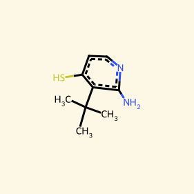 CC(C)(C)c1c(S)ccnc1N